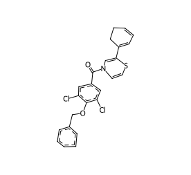 O=C(c1cc(Cl)c(OCc2ccccc2)c(Cl)c1)N1C=CSC(C2=CC=CCC2)=C1